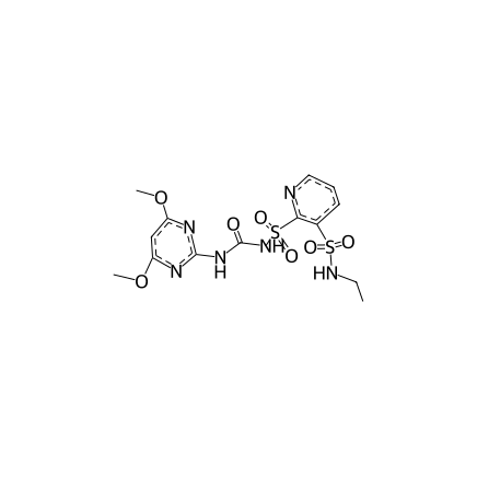 CCNS(=O)(=O)c1cccnc1S(=O)(=O)NC(=O)Nc1nc(OC)cc(OC)n1